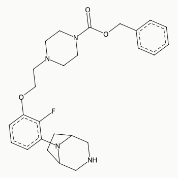 O=C(OCc1ccccc1)N1CCN(CCOc2cccc(N3C4CCC3CNC4)c2F)CC1